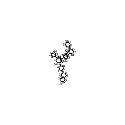 CC1=C(c2ccc(-c3ccc4ccccc4c3)cc2)N=C(c2ccc3c(c2)sc2c(-c4ccccc4)cccc23)N=C(c2ccccc2)C1